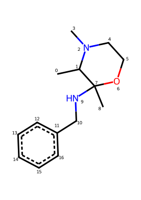 CC1N(C)CCOC1(C)NCc1ccccc1